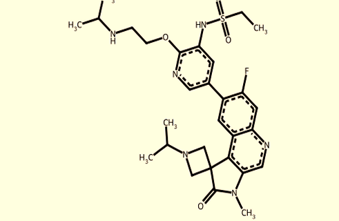 CCS(=O)(=O)Nc1cc(-c2cc3c4c(cnc3cc2F)N(C)C(=O)C42CN(C(C)C)C2)cnc1OCCNC(C)C